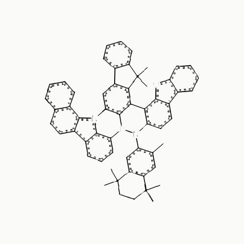 Cc1cc2c(cc1N1B3c4c(cc5c(c4-c4c1ccc1c4oc4ccccc41)C(C)(C)c1ccccc1-5)-n1c4c3cccc4c3ccc4ccccc4c31)C(C)(C)CCC2(C)C